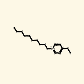 CCCCCCCCCC[n+]1ccc(CC)cc1